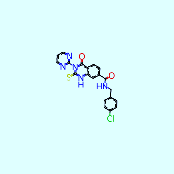 O=C(NCc1ccc(Cl)cc1)c1ccc2c(=O)n(-c3ncccn3)c(=S)[nH]c2c1